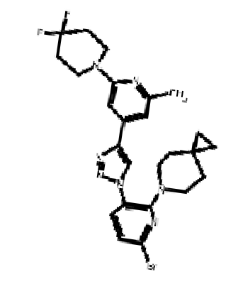 Cc1cc(-c2cn(-c3ccc(Br)nc3N3CCC4(CC3)CC4)nn2)cc(N2CCC(F)(F)CC2)n1